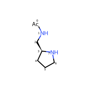 CC(=O)NC[C@@H]1CCCN1